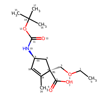 CCOC[C@@]1(C(=O)O)C[C@H](NC(=O)OC(C)(C)C)C=C1C